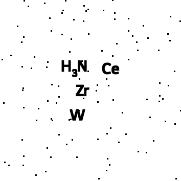 N.[Ce].[W].[Zr]